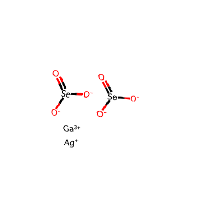 O=[Se]([O-])[O-].O=[Se]([O-])[O-].[Ag+].[Ga+3]